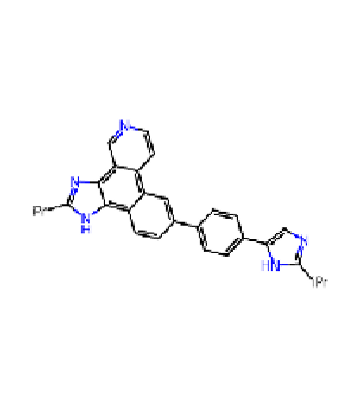 CC(C)c1ncc(-c2ccc(-c3ccc4c(c3)c3ccncc3c3nc(C(C)C)[nH]c43)cc2)[nH]1